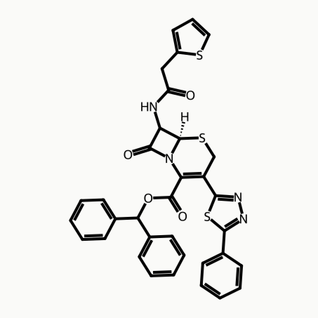 O=C(Cc1cccs1)NC1C(=O)N2C(C(=O)OC(c3ccccc3)c3ccccc3)=C(c3nnc(-c4ccccc4)s3)CS[C@H]12